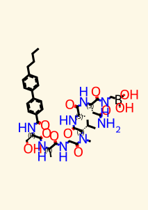 CCCCc1ccc(-c2ccc(C(=O)N[C@H](CO)C(=O)N[C@H](C)C(=O)NCC(=O)N(C)[C@H](C(=O)N[C@@H](C)C(=O)N[C@@H](CC(N)=O)C(=O)NCB(O)O)C(C)C)cc2)cc1